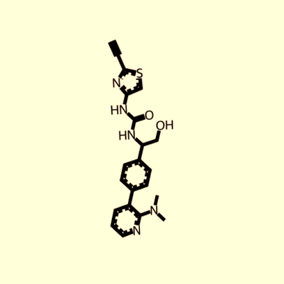 C#Cc1nc(NC(=O)NC(CO)c2ccc(-c3cccnc3N(C)C)cc2)cs1